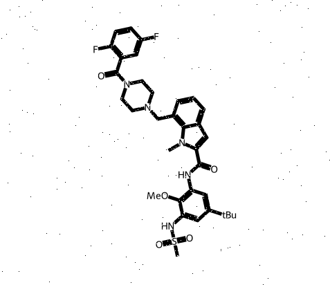 COc1c(NC(=O)c2cc3cccc(CN4CCN(C(=O)c5cc(F)ccc5F)CC4)c3n2C)cc(C(C)(C)C)cc1NS(C)(=O)=O